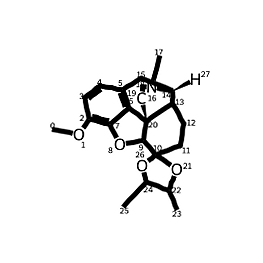 COc1ccc2c3c1OC1C4(CCC5[C@@H](C2)N(C)CC[C@@]351)OC(C)C(C)O4